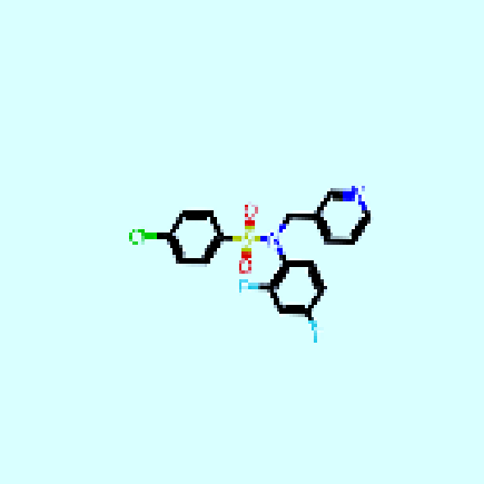 O=S(=O)(c1ccc(Cl)cc1)N(Cc1cccnc1)c1ccc(F)cc1F